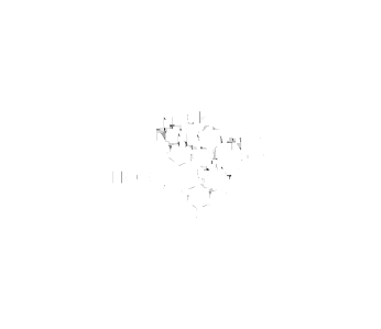 Cc1ccc(C(CC(=O)O)c2ccn3c(C(F)(F)F)nnc3c2C)cc1CN1CC2CCCN2c2ccccc2[S+]1[O-]